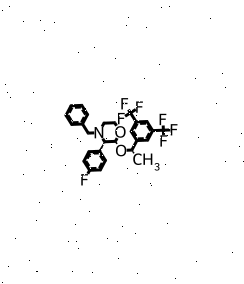 C[C@H](O[C@H]1OCCN(Cc2ccccc2)[C@@H]1c1ccc(F)cc1)c1cc(C(F)(F)F)cc(C(F)(F)F)c1